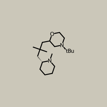 CN1CCCC[C@@H]1CC(C)(C)CC1CN(C(C)(C)C)CCO1